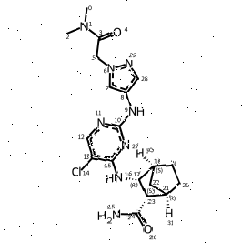 CN(C)C(=O)Cn1cc(Nc2ncc(Cl)c(N[C@@H]3[C@H]4CC[C@H](C4)[C@@H]3C(N)=O)n2)cn1